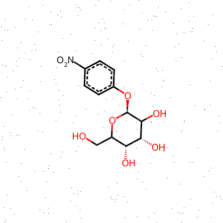 O=[N+]([O-])c1ccc(O[C@@H]2OC(CO)[C@@H](O)[C@@H](O)C2O)cc1